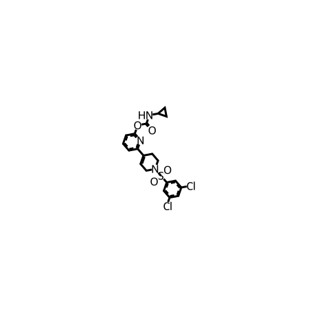 O=C(NC1CC1)Oc1cccc(C2=CCN(S(=O)(=O)c3cc(Cl)cc(Cl)c3)CC2)n1